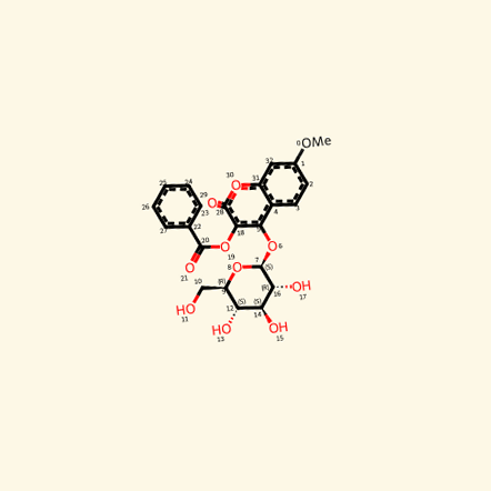 COc1ccc2c(O[C@@H]3O[C@H](CO)[C@@H](O)[C@H](O)[C@H]3O)c(OC(=O)c3ccccc3)c(=O)oc2c1